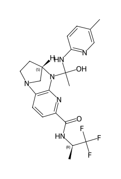 Cc1ccc(NC(C)(O)N2c3nc(C(=O)N[C@H](C)C(F)(F)F)ccc3N3CC[C@H]2C3)nc1